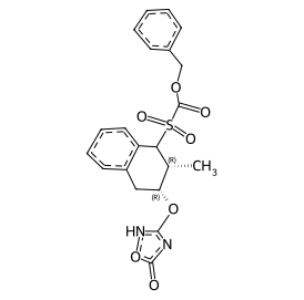 C[C@H]1C(S(=O)(=O)C(=O)OCc2ccccc2)c2ccccc2C[C@H]1Oc1nc(=O)o[nH]1